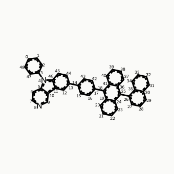 c1ccc(-n2c3ccncc3c3cc(-c4ccc(-c5c6ccccc6c(-c6cccc7ccccc67)c6ccccc56)cc4)ccc32)cc1